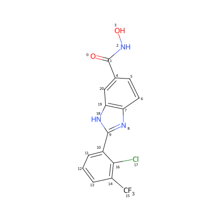 O=C(NO)c1ccc2nc(-c3cccc(C(F)(F)F)c3Cl)[nH]c2c1